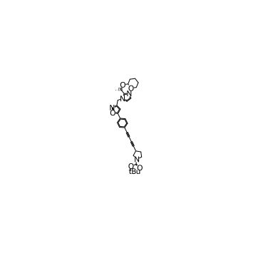 C[C@H](OC1CCCCO1)c1nccn1Cc1cc(-c2ccc(C#CC#CC3CCN(C(=O)OC(C)(C)C)C3)cc2)on1